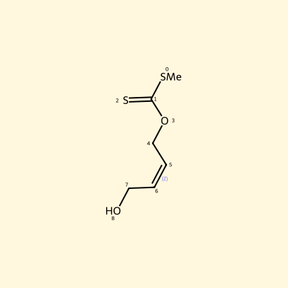 CSC(=S)OC/C=C\CO